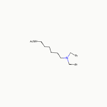 CC(=O)NCCCCCCN(CC(C)C)CC(C)C